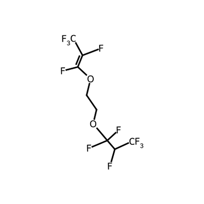 FC(OCCOC(F)(F)C(F)C(F)(F)F)=C(F)C(F)(F)F